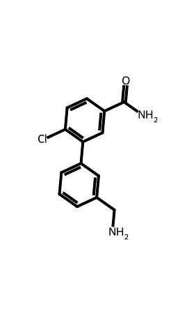 NCc1cccc(-c2cc(C(N)=O)ccc2Cl)c1